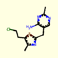 Cc1ncc(Cc2nc(C)c(CCCl)s2)c(N)n1